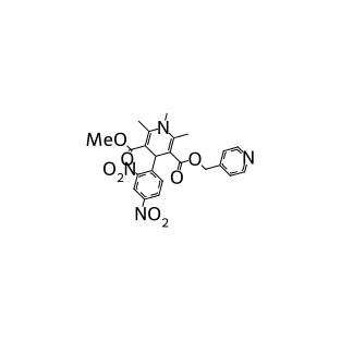 COC(=O)C1=C(C)N(C)C(C)=C(C(=O)OCc2ccncc2)C1c1ccc([N+](=O)[O-])cc1[N+](=O)[O-]